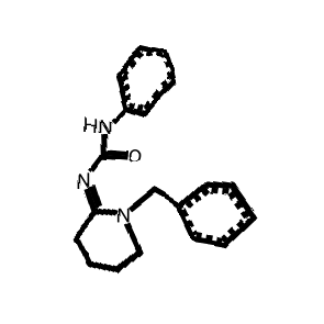 O=C(N=C1CCCCN1Cc1ccccc1)Nc1ccccc1